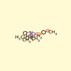 COc1ccc(OCCCN(Cc2cccc(C(C)(C)C)c2)O[SiH](C)C)cc1